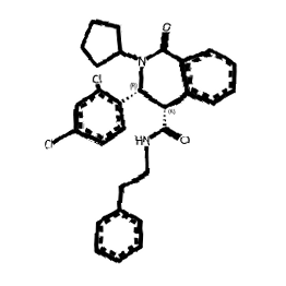 O=C(NCCc1ccccc1)[C@H]1c2ccccc2C(=O)N(C2CCCC2)[C@H]1c1ccc(Cl)cc1Cl